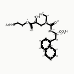 CC(=O)NCCOC(=O)C(O)CN(CC(C)C)C(=O)N[C@@H](Cc1cccc2ccccc12)C(=O)O